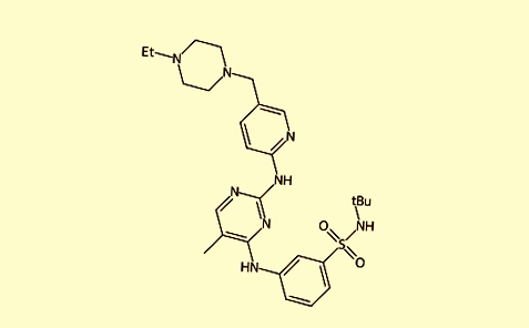 CCN1CCN(Cc2ccc(Nc3ncc(C)c(Nc4cccc(S(=O)(=O)NC(C)(C)C)c4)n3)nc2)CC1